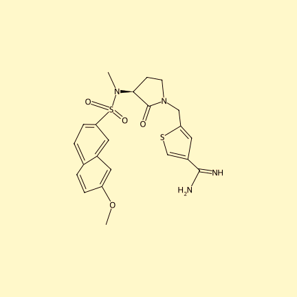 COc1ccc2ccc(S(=O)(=O)N(C)[C@H]3CCN(Cc4cc(C(=N)N)cs4)C3=O)cc2c1